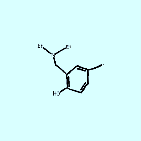 [CH2]c1ccc(O)c(CN(CC)CC)c1